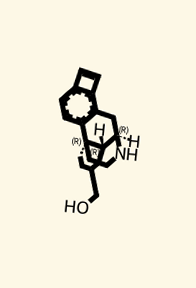 OCC1CC[C@]23CCN[C@H](Cc4c2ccc2c4C=C2)[C@@H]3C1